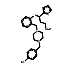 CNCCC(Oc1ccccc1CN1CCN(Cc2ccc(C#N)cc2)CC1)c1cccs1